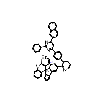 CC/C=C\C1=C(C)Oc2ccccc2[C@@]12c1ccccc1C1=CC(C3=NC=CCC3c3ccc(-c4cc(-c5ccc6ccccc6c5)nc(-c5ccccc5)n4)cc3)=CCC12